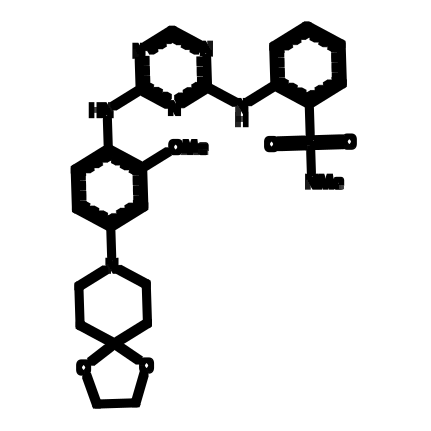 CNS(=O)(=O)c1ccccc1Nc1ncnc(Nc2ccc(N3CCC4(CC3)OCCO4)cc2OC)n1